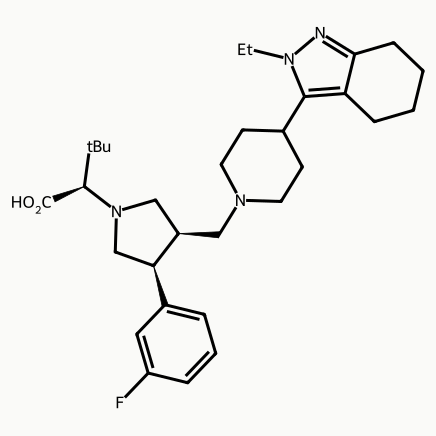 CCn1nc2c(c1C1CCN(C[C@@H]3CN([C@@H](C(=O)O)C(C)(C)C)C[C@@H]3c3cccc(F)c3)CC1)CCCC2